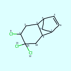 ClC1CC2C3C=CC(C3)C2CC1(Cl)Cl